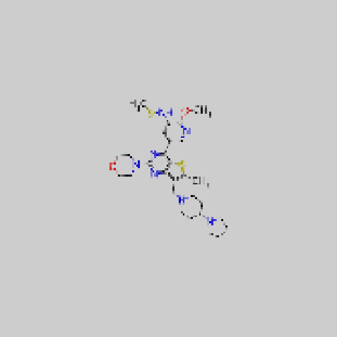 COc1ncc(-c2nc(N3CCOCC3)nc3c(CN4CCC(N5CCCC5)CC4)c(C)sc23)cc1NSC